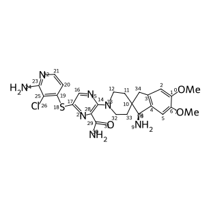 COc1cc2c(cc1OC)[C@@H](N)C1(CCN(c3ncc(Sc4ccnc(N)c4Cl)nc3C(N)=O)CC1)C2